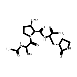 CO[C@@H]1CCN(C(=O)C(NC(=O)C(F)(F)F)C(C)(C)C)[C@@H]1C(=O)NC(C[C@@H]1CCNC1=O)C(N)=O